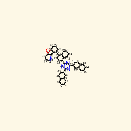 c1ccc2cc(-c3nc(-c4ccc5ccccc5c4)nc(-c4ccc(-c5cccc6oc7cccnc7c56)c5ccccc45)n3)ccc2c1